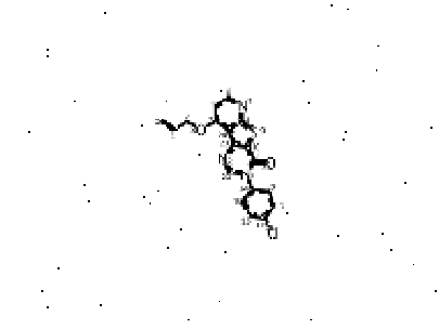 C=CCOc1ccnc2sc3c(=O)n(-c4ccc(Cl)cc4)cnc3c12